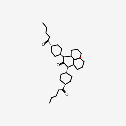 CCCCC(=O)[C@H]1CC[C@H](C(C(=O)C(C2CCCCC2)[C@H]2CC[C@H](C(=O)CCCC)CC2)C2CCCCC2)CC1